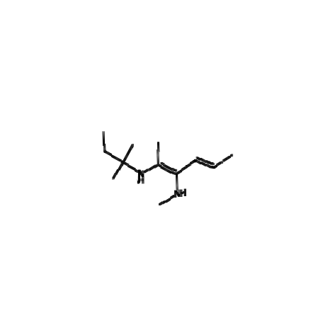 C/C=C/C(NC)=C(\C)NC(C)(C)CC